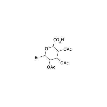 CC(=O)OC1C(Br)OC(C(=O)O)C(OC(C)=O)C1OC(C)=O